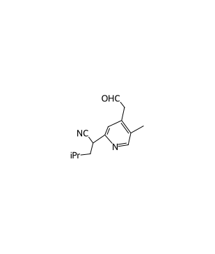 Cc1cnc(C(C#N)CC(C)C)cc1CC=O